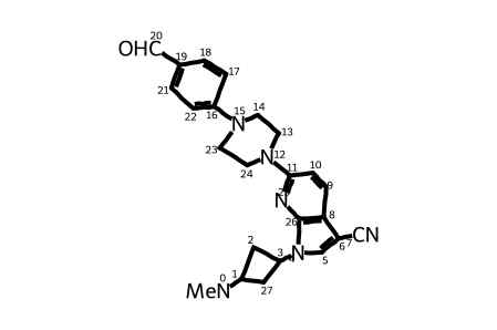 CNC1CC(n2cc(C#N)c3ccc(N4CCN(c5ccc(C=O)cc5)CC4)nc32)C1